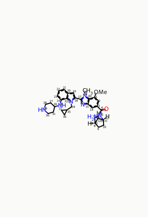 COc1cc(C(=O)N2C[C@H]3CC[C@@H]2[C@@H]3N)cc2nc(-c3cc4cccc(NC5CCNCC5)c4n3CC3CC3)n(C)c12